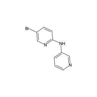 Brc1ccc(Nc2cccnc2)nc1